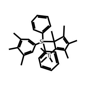 CC1=C(C)C(C)([Si](c2ccccc2)(c2ccccc2)c2cc(C)c(C)c(C)c2)[C]([Ti]([CH3])([CH3])[CH3])=C1C